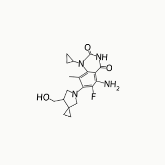 Cc1c(N2CC(CO)C3(CC3)C2)c(F)c(N)c2c(=O)[nH]c(=O)n(C3CC3)c12